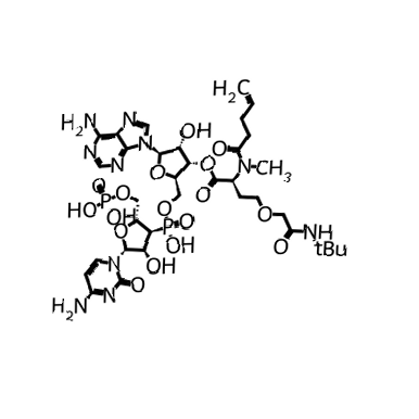 C=CCCC(=O)N(C)[C@@H](CCOCC(=O)NC(C)(C)C)C(=O)O[C@H]1[C@@H](O)[C@H](n2cnc3c(N)ncnc32)O[C@@H]1COP(=O)(O)[C@H]1[C@@H](O)[C@H](n2ccc(N)nc2=O)O[C@@H]1COP(=O)(O)O